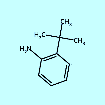 CC(C)(C)c1[c]cccc1N